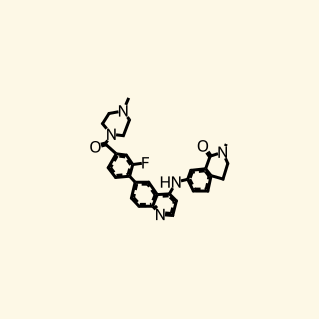 CN1CCN(C(=O)c2ccc(-c3ccc4nccc(Nc5ccc6c(c5)C(=O)N(C)CC6)c4c3)c(F)c2)CC1